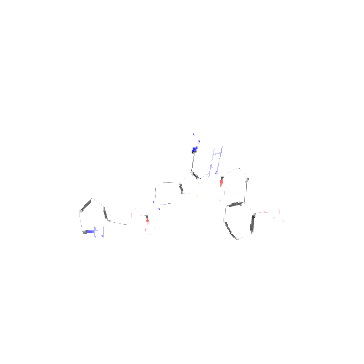 COc1ccccc1[C@@H](C)CC(=O)Nc1sc2c(c1C#N)CCN(C(=O)OCc1ccccn1)C2